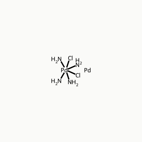 [NH2][Pd]([NH2])([NH2])([NH2])([Cl])[Cl].[Pd]